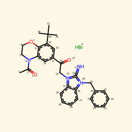 Br.CC(=O)N1CCOc2c1cc(C(=O)Cn1c(=N)n(Cc3ccccc3)c3ccccc31)cc2C(C)(C)C